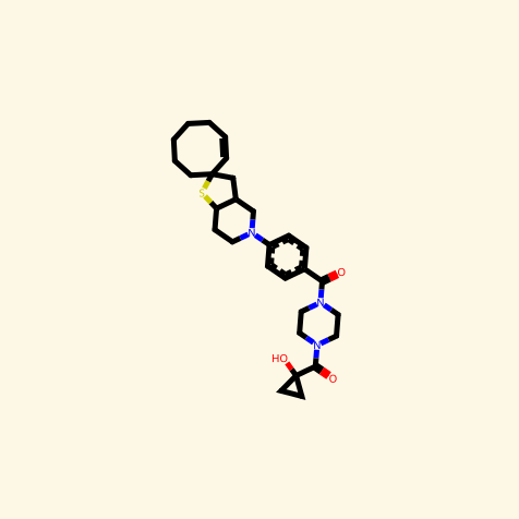 O=C(c1ccc(N2CCC3SC4(/C=C\CCCCC4)CC3C2)cc1)N1CCN(C(=O)C2(O)CC2)CC1